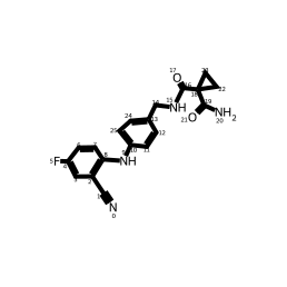 N#Cc1cc(F)ccc1Nc1ccc(CNC(=O)C2(C(N)=O)CC2)cc1